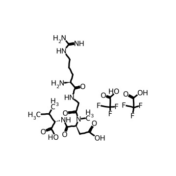 CC(C)[C@H](NC(=O)[C@H](CC(=O)O)N(C)C(=O)CNC(=O)[C@@H](N)CCCNC(=N)N)C(=O)O.O=C(O)C(F)(F)F.O=C(O)C(F)(F)F